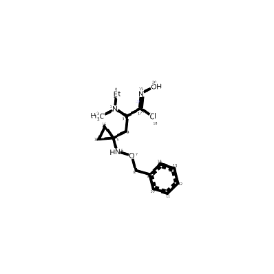 CCN(C)C(CC1(NOCc2ccccc2)CC1)/C(Cl)=N/O